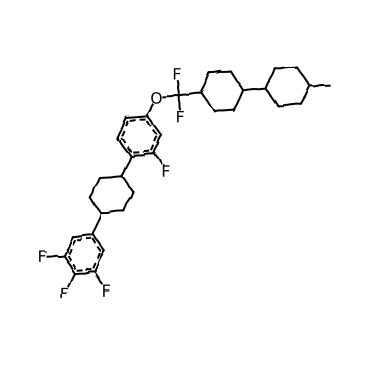 CC1CCC(C2CCC(C(F)(F)Oc3ccc(C4CCC(c5cc(F)c(F)c(F)c5)CC4)c(F)c3)CC2)CC1